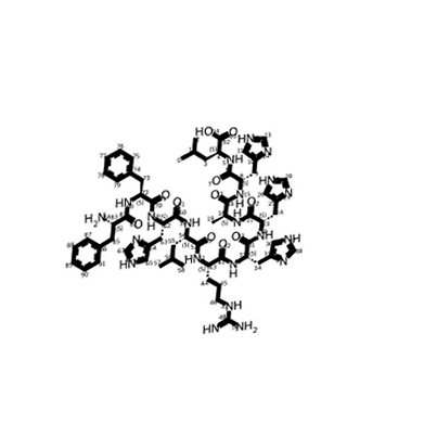 CC(C)C[C@H](NC(=O)[C@H](Cc1c[nH]cn1)NC(=O)[C@H](C)NC(=O)[C@H](Cc1c[nH]cn1)NC(=O)[C@H](Cc1c[nH]cn1)NC(=O)[C@H](CCCNC(=N)N)NC(=O)[C@H](CC(C)C)NC(=O)[C@H](Cc1c[nH]cn1)NC(=O)[C@H](Cc1ccccc1)NC(=O)[C@@H](N)Cc1ccccc1)C(=O)O